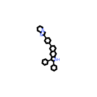 c1ccc(-c2[nH]c3cc4ccc(-c5ccc(-c6cn7ccccc7n6)cc5)cc4cc3c2-c2ccccc2)cc1